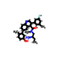 CCC(N)CN(C)C(=O)c1c(-c2cc(C)cc(F)c2)cnc2ccc(-c3cc(O)ccc3C)cc12